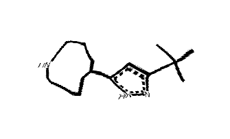 CC(C)(C)c1cc(C2CCNCC2)[nH]n1